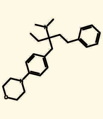 CCC(CCc1ccccc1)(Cc1ccc(N2CCOCC2)cc1)N(C)C